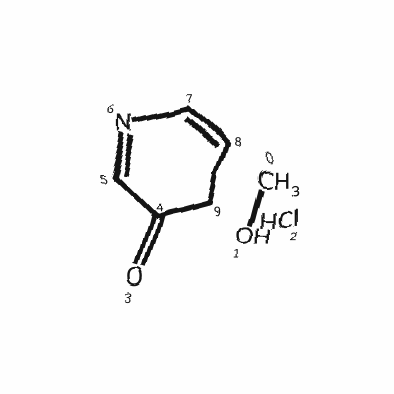 CO.Cl.O=C1C=NC=CC1